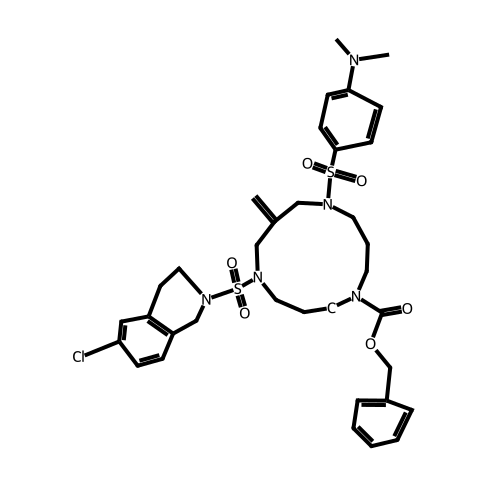 C=C1CN(S(=O)(=O)c2ccc(N(C)C)cc2)CCCN(C(=O)OCc2ccccc2)CCCN(S(=O)(=O)N2CCc3cc(Cl)ccc3C2)C1